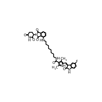 Cc1[nH]c(/C=C2\C(=O)Nc3ccc(F)cc32)c(C)c1C(=O)NCCCCCCCCNc1cccc2c1C(=O)N(C1CCC(=O)NC1=O)C2=O